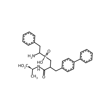 C[C@H](NC(=O)C(Cc1ccc(-c2ccccc2)cc1)CP(=O)(O)C(N)Cc1ccccc1)C(=O)O